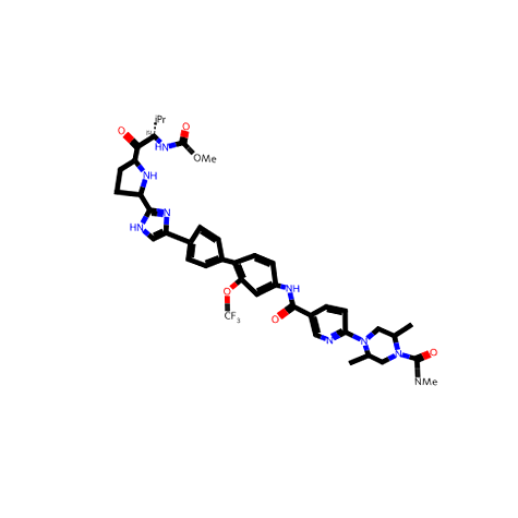 CNC(=O)N1CC(C)N(c2ccc(C(=O)Nc3ccc(-c4ccc(-c5c[nH]c(C6CCC(C(=O)[C@@H](NC(=O)OC)C(C)C)N6)n5)cc4)c(OC(F)(F)F)c3)cn2)CC1C